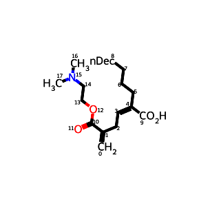 C=C(CC=C(CCCCCCCCCCCCC)C(=O)O)C(=O)OCCN(C)C